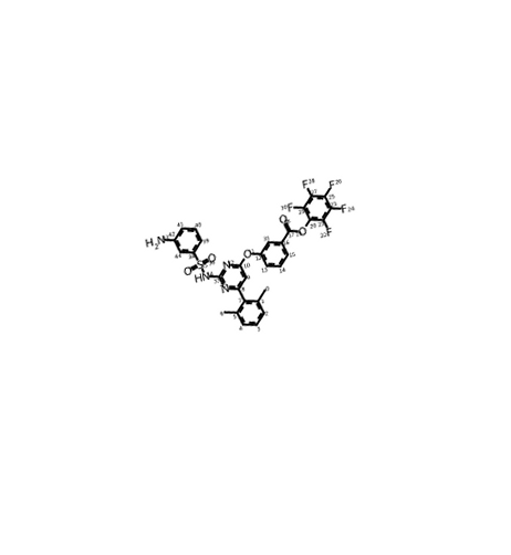 Cc1cccc(C)c1-c1cc(Oc2cccc(C(=O)Oc3c(F)c(F)c(F)c(F)c3F)c2)nc(NS(=O)(=O)c2cccc(N)c2)n1